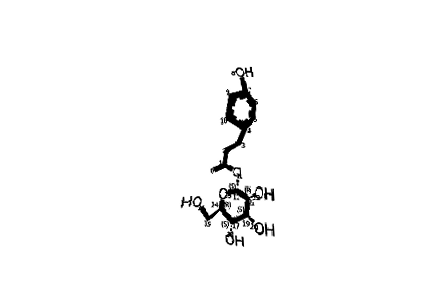 CC(CCc1ccc(O)cc1)O[C@H]1O[C@H](CO)[C@@H](O)[C@H](O)[C@H]1O